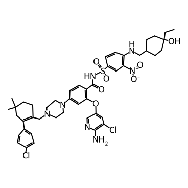 CCC1(O)CCC(CNc2ccc(S(=O)(=O)NC(=O)c3ccc(N4CCN(CC5=C(c6ccc(Cl)cc6)CC(C)(C)CC5)CC4)cc3Oc3cnc(N)c(Cl)c3)cc2[N+](=O)[O-])CC1